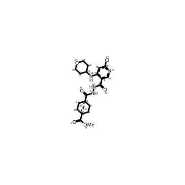 COC(=O)C12CCC(C(=O)NNC(=O)c3cnc(Cl)cc3NC3CCOCC3)(CC1)CC2